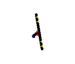 CCCSCCCSCCCCCCCCC(CCCCCCCCSCCCSCCC)OC(=O)CCCN(C)C